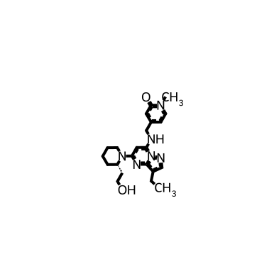 CCc1cnn2c(NCc3ccn(C)c(=O)c3)cc(N3CCCC[C@H]3CCO)nc12